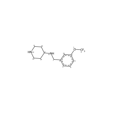 FC(F)(F)Oc1cccc(CNC2CCNCC2)c1